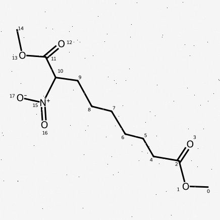 COC(=O)CCCCCCC(C(=O)OC)[N+](=O)[O-]